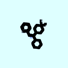 FC1(F)CCC(/C(=C\c2ccccn2)C2CCCCC2)CC1